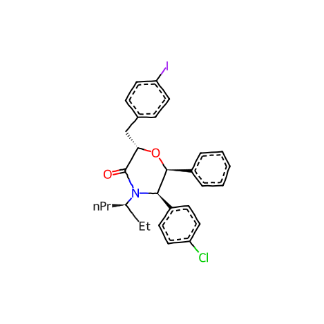 CCC[C@H](CC)N1C(=O)[C@H](Cc2ccc(I)cc2)O[C@@H](c2ccccc2)[C@H]1c1ccc(Cl)cc1